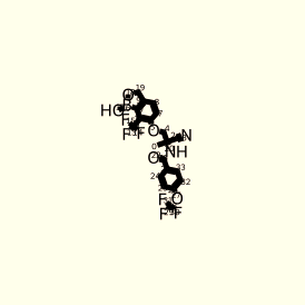 CC(C#N)(COc1ccc2c(c1C(F)(F)F)B(O)OC2)NC(=O)c1ccc(OC(F)(F)F)cc1